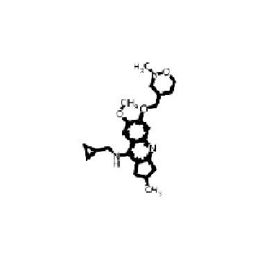 COc1cc2c(NCC3CC3)c3c(nc2cc1OCC1CCON(C)C1)CC(C)C3